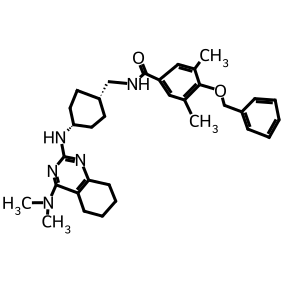 Cc1cc(C(=O)NC[C@H]2CC[C@@H](Nc3nc4c(c(N(C)C)n3)CCCC4)CC2)cc(C)c1OCc1ccccc1